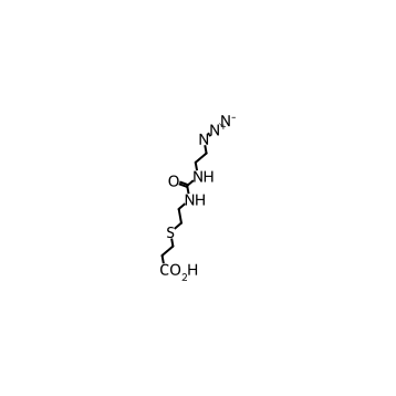 [N-]=[N+]=NCCNC(=O)NCCSCCC(=O)O